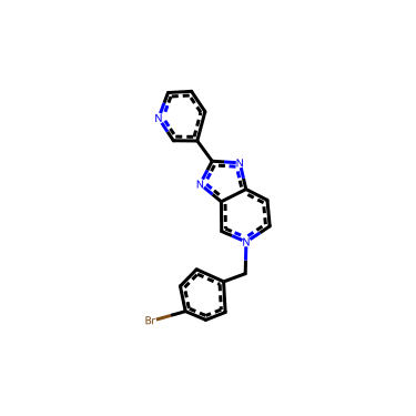 Brc1ccc(Cn2ccc3nc(-c4cccnc4)nc-3c2)cc1